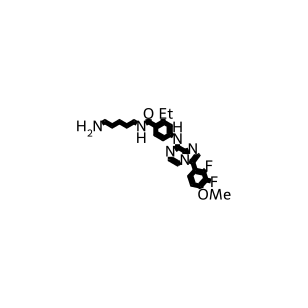 CCc1cc(Nc2nccn3c(-c4ccc(OC)c(F)c4F)cnc23)ccc1C(=O)NCCCCCN